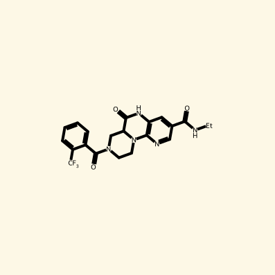 CCNC(=O)c1cnc2c(c1)NC(=O)C1CN(C(=O)c3ccccc3C(F)(F)F)CCN21